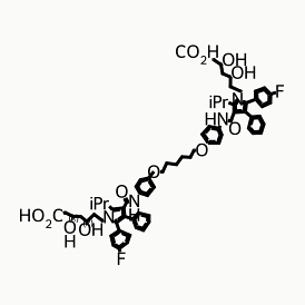 CC(C)c1c(C(=O)Nc2ccc(OCCCCCCOc3ccc(NC(=O)c4c(-c5ccccc5)c(-c5ccc(F)cc5)n(CC[C@@H](O)C[C@@H](O)CC(=O)O)c4C(C)C)cc3)cc2)c(-c2ccccc2)c(-c2ccc(F)cc2)n1CCC(O)CC(O)CC(=O)O